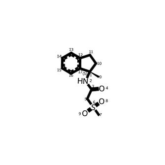 C[C@]1(NC(=O)CS(C)(=O)=O)CCc2ccccc21